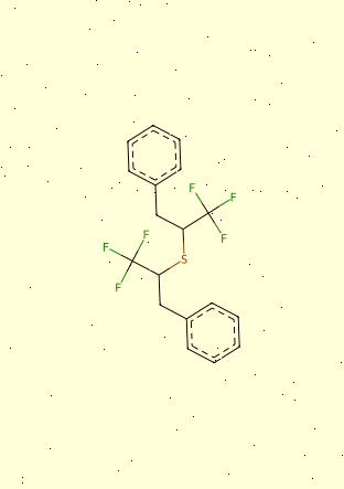 FC(F)(F)C(Cc1ccccc1)SC(Cc1ccccc1)C(F)(F)F